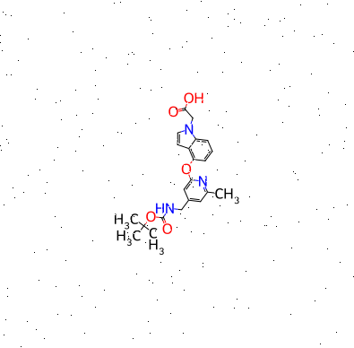 Cc1cc(CNC(=O)OC(C)(C)C)cc(Oc2cccc3c2ccn3CC(=O)O)n1